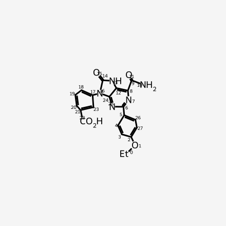 CCOc1ccc(-c2nc(C(N)=O)c3[nH]c(=O)n(-c4cccc(C(=O)O)c4)c3n2)cc1